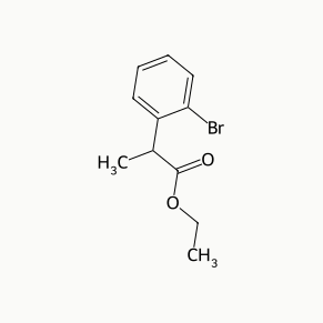 CCOC(=O)C(C)c1ccccc1Br